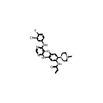 C=CC(=O)Nc1cc(Nc2cc(Nc3ccc(F)c(Cl)c3)ncn2)c(OC)cc1N1CCN(C)CC1